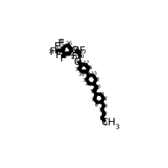 CCCCCC1CCC(/C=C/C2CCC(c3ccc(OCC(F)(F)Oc4cc(F)c(C(F)(F)F)c(F)c4)cc3)CC2)CC1